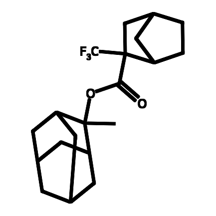 CC1(OC(=O)C2(C(F)(F)F)CC3CCC2C3)C2CC3CC(C2)CC1C3